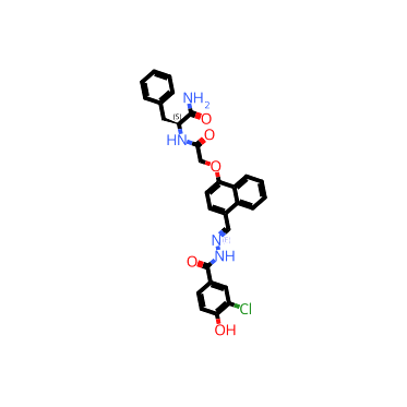 NC(=O)[C@H](Cc1ccccc1)NC(=O)COc1ccc(/C=N/NC(=O)c2ccc(O)c(Cl)c2)c2ccccc12